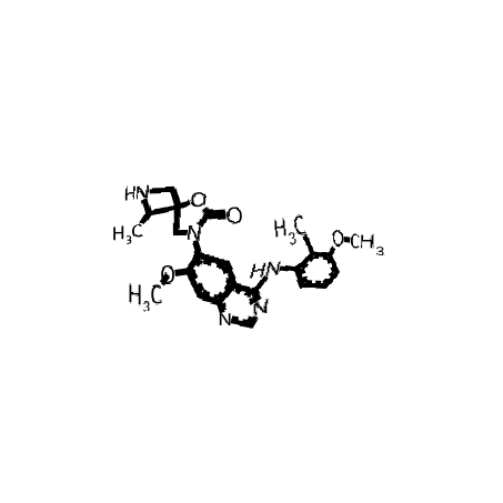 COc1cc2ncnc(Nc3cccc(OC)c3C)c2cc1N1CC2(CNC2C)OC1=O